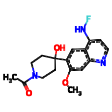 COc1cc2nccc(NF)c2cc1C1(O)CCN(C(C)=O)CC1